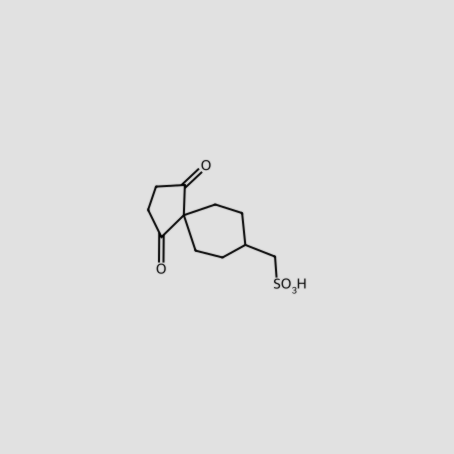 O=C1CCC(=O)C12CCC(CS(=O)(=O)O)CC2